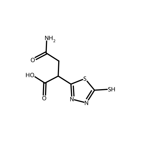 NC(=O)CC(C(=O)O)c1nnc(S)s1